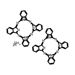 [SiH4].[Zn].c1ccc2c(c1)-c1nc-2nc2[nH]c(nc3nc(nc4[nH]c(n1)c1ccccc41)-c1ccccc1-3)c1ccccc21.c1ccc2c(c1)-c1nc-2nc2[nH]c(nc3nc(nc4[nH]c(n1)c1ccccc41)-c1ccccc1-3)c1ccccc21